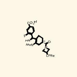 CNC1=C(C(=N)c2ccc(C(=O)O)cc2F)CC[C@H](C(=O)N2CC(OC)C2)C1